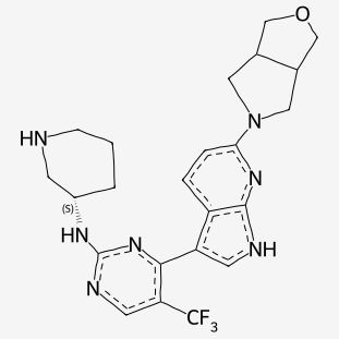 FC(F)(F)c1cnc(N[C@H]2CCCNC2)nc1-c1c[nH]c2nc(N3CC4COCC4C3)ccc12